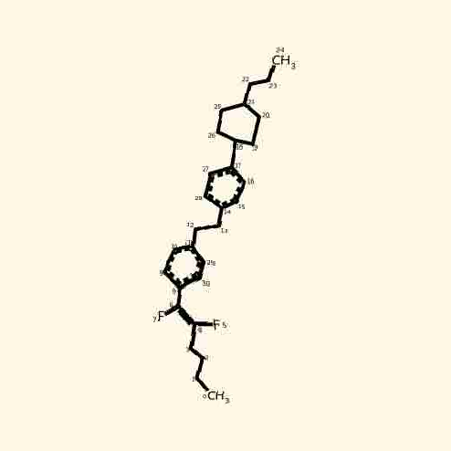 CCCC/C(F)=C(\F)c1ccc(CCc2ccc(C3CCC(CCC)CC3)cc2)cc1